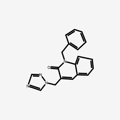 O=c1c(Cn2cncn2)cc2ccccc2n1Cc1ccccc1